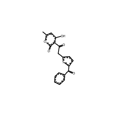 Cc1cc(O)c(C(=O)Cc2ccc(C(=O)c3ccccc3)s2)c(=O)o1